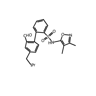 Cc1noc(NS(=O)(=O)c2ccccc2-c2ccc(CC(C)C)cc2C=O)c1C